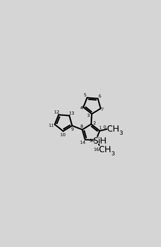 CC1=C(C2=CC=CC2)C(C2=CC=CC2)=C[SiH]1C